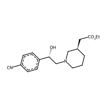 [C-]#[N+]c1ccc([C@H](O)CN2CCC[C@H](CC(=O)OCC)C2)cc1